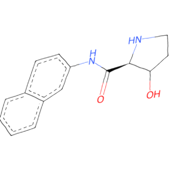 O=C(Nc1ccc2ccccc2c1)[C@H]1NCCC1O